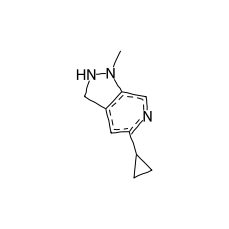 CN1NCc2cc(C3CC3)ncc21